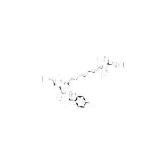 COc1ccc(C(=O)NC(=O)[C@H](CC(=O)O)NC(=O)CCCCCCCNC(=N)N)cc1